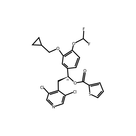 O=C(O[C@@H](Cc1c(Cl)cncc1Cl)c1ccc(OC(F)F)c(OCC2CC2)c1)c1cccs1